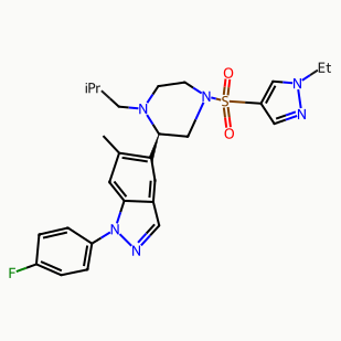 CCn1cc(S(=O)(=O)N2CCN(CC(C)C)[C@H](c3cc4cnn(-c5ccc(F)cc5)c4cc3C)C2)cn1